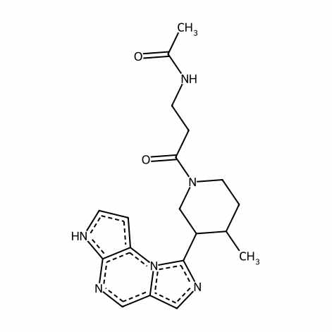 CC(=O)NCCC(=O)N1CCC(C)C(c2ncc3cnc4[nH]ccc4n23)C1